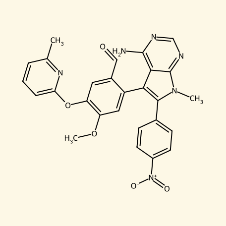 COc1cc(-c2c(-c3ccc([N+](=O)[O-])cc3)n(C)c3ncnc(N)c23)c(C=O)cc1Oc1cccc(C)n1